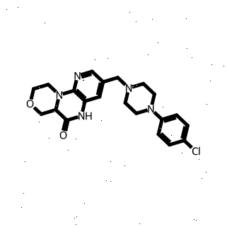 O=C1Nc2cc(CN3CCN(c4ccc(Cl)cc4)CC3)cnc2N2CCOCC12